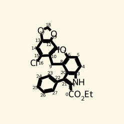 CCOC(=O)c1[nH]c2ccc(O)c(Cc3cc4c(cc3Cl)OCO4)c2c1-c1ccccc1